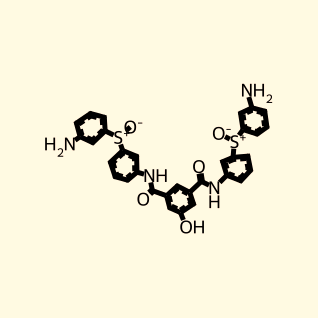 Nc1cccc([S+]([O-])c2cccc(NC(=O)c3cc(O)cc(C(=O)Nc4cccc([S+]([O-])c5cccc(N)c5)c4)c3)c2)c1